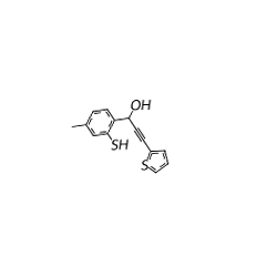 Cc1ccc(C(O)C#Cc2cccs2)c(S)c1